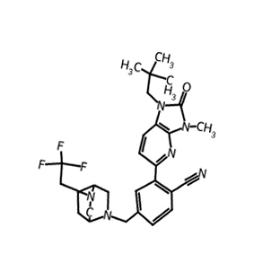 Cn1c(=O)n(CC(C)(C)C)c2ccc(-c3cc(CN4CC5CCC4CN5CC(F)(F)F)ccc3C#N)nc21